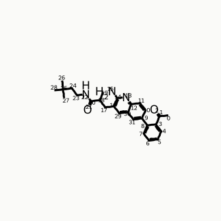 CC(=O)c1ccccc1-c1ccc2nc(N)c(CC(C)C(=O)NCCC(C)(C)C)cc2c1